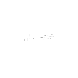 [C]#CC.[LiH]